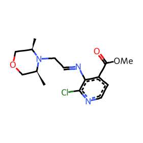 COC(=O)c1ccnc(Cl)c1/N=C/CN1[C@H](C)COC[C@@H]1C